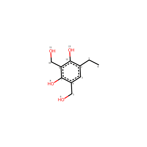 CCc1cc(CO)c(O)c(CO)c1O